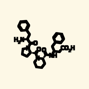 N[C@@H](Cc1ccccc1)C(=O)N1CCC[C@H]1C(=O)N1CCCC[C@H]1C(=O)NC(CC(=O)O)Cc1ccccc1